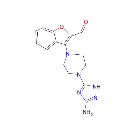 Nc1n[nH]c(N2CCN(c3c(C=O)oc4ccccc34)CC2)n1